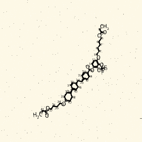 C=CC(=O)OCCCCCCOc1ccc(OC(=O)c2ccc(CCc3ccc(C4CCC(OCCCCOC(=O)C=C)CC4)cc3)cc2)c2c1OC(F)(F)O2